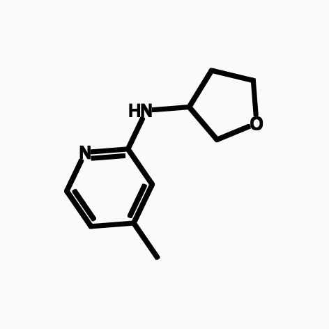 Cc1ccnc(NC2CCOC2)c1